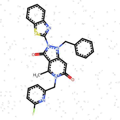 Cc1c2c(=O)n(-c3nc4ccccc4s3)n(Cc3ccccc3)c2cc(=O)n1Cc1cccc(F)n1